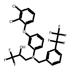 OC(CN(Cc1cccc(C(F)(F)C(F)(F)F)c1)c1cccc(Oc2cccc(Cl)c2Cl)c1)C(F)(F)F